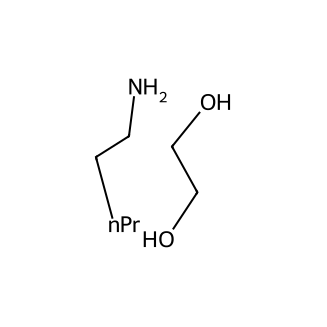 CCCCCN.OCCO